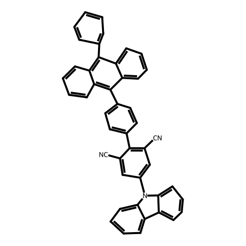 N#Cc1cc(-n2c3ccccc3c3ccccc32)cc(C#N)c1-c1ccc(-c2c3ccccc3c(-c3ccccc3)c3ccccc23)cc1